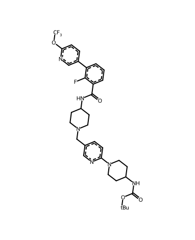 CC(C)(C)OC(=O)NC1CCN(c2ccc(CN3CCC(NC(=O)c4cccc(-c5ccc(OC(F)(F)F)nc5)c4F)CC3)cn2)CC1